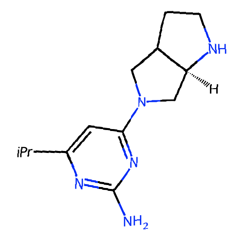 CC(C)c1cc(N2CC3CCN[C@H]3C2)nc(N)n1